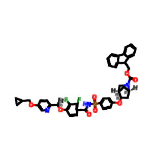 CC[C@@H](Oc1ccc(C(=O)NS(=O)(=O)c2ccc(O[C@@H]3C[C@H]4C[C@@H]3CN4C(=O)OCC3c4ccccc4-c4ccccc43)cc2)c(F)c1F)c1ccc(OCC2CC2)cn1